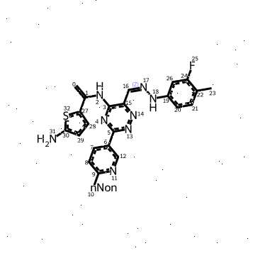 C=C(Nc1nc(-c2ccc(CCCCCCCCC)nc2)nnc1/C=N\Nc1ccc(C)c(F)c1)c1ccc(N)s1